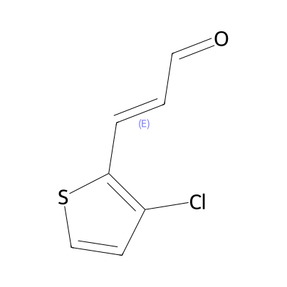 O=C/C=C/c1sccc1Cl